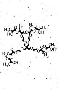 CC(O)C(=O)OC(C)C(=O)OCCOCC(COCCOC(=O)C(C)OC(=O)C(C)O)(COCCOC(=O)C(C)OC(=O)C(C)O)COCCOC(=O)C(C)OC(=O)C(C)O